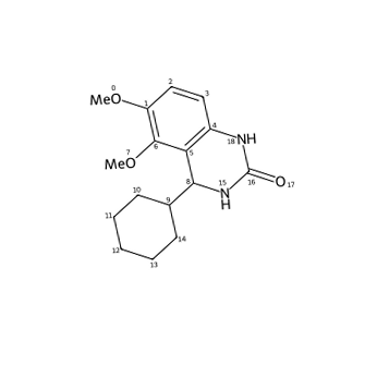 COc1ccc2c(c1OC)C(C1CCCCC1)NC(=O)N2